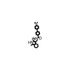 Cc1[nH]c(=O)c(CNC(=O)c2ccc(-c3ccc(N(C)C)cc3)cc2)c2c1CCCC2